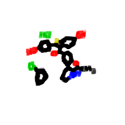 CC(Oc1ccc(C(=O)c2c(-c3ccc(O)cc3)sc3cc(O)ccc23)cc1)C1CCCCN1.Cl.Clc1ccccc1